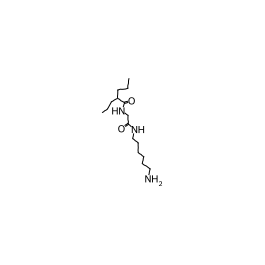 CCCC(CCC)C(=O)NCC(=O)NCCCCCCN